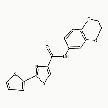 O=C(Nc1ccc2c(c1)OCCO2)c1csc(-c2cccs2)n1